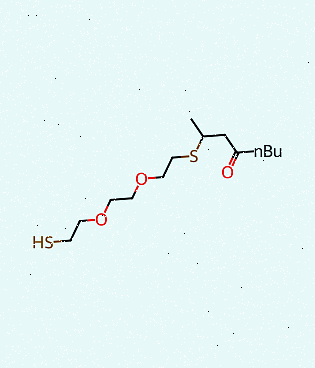 CCCCC(=O)CC(C)SCCOCCOCCS